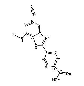 CSc1cc(C#N)cc2nc(-c3ccc(C(=O)O)cc3)oc12